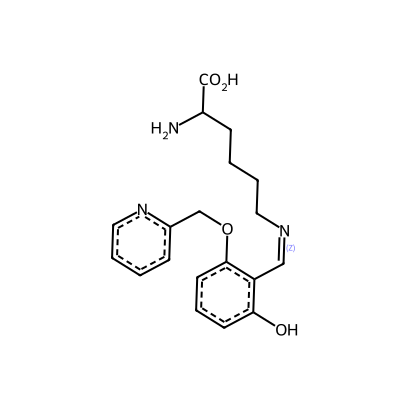 NC(CCCC/N=C\c1c(O)cccc1OCc1ccccn1)C(=O)O